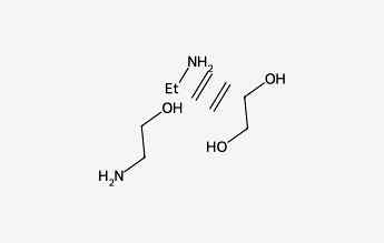 C=C.C=C.NCCO.OCCO.[CH2]CN